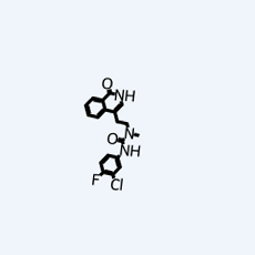 CN(CCc1c[nH]c(=O)c2ccccc12)C(=O)Nc1ccc(F)c(Cl)c1